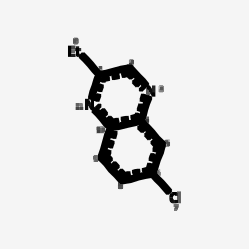 CCc1cnc2cc(Cl)ccc2n1